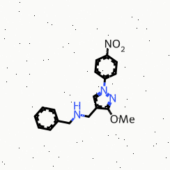 COc1nn(-c2ccc([N+](=O)[O-])cc2)cc1CNCc1ccccc1